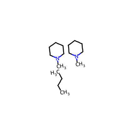 CCCC.CN1CCCCC1.CN1CCCCC1